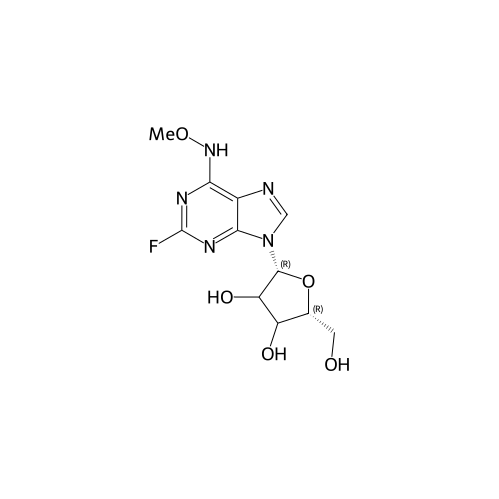 CONc1nc(F)nc2c1ncn2[C@@H]1O[C@H](CO)C(O)C1O